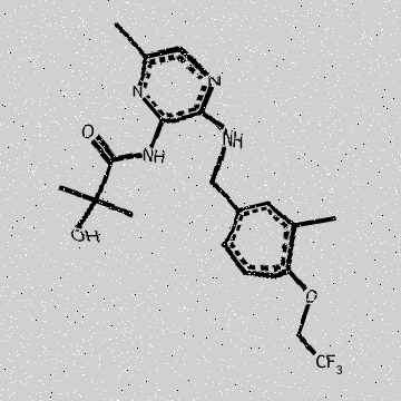 Cc1cnc(NCc2ccc(OCC(F)(F)F)c(C)c2)c(NC(=O)C(C)(C)O)n1